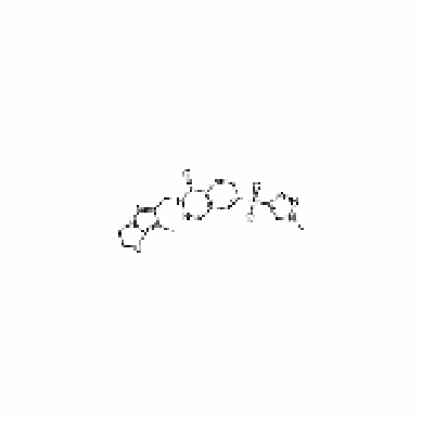 Cc1c(Cn2ncc3cc(S(=O)(=O)c4cnn(C)c4)ccc3c2=O)nn2c1OCC2